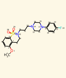 COc1cccc2c1CCN(CCCN1CCN(c3ccc(F)cc3)CC1)S2(=O)=O